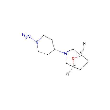 NN1CCC(N2C[C@H]3CC[C@@H](C2)O3)CC1